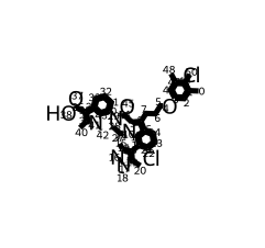 Cc1cc(OCCCc2c3n(c4c(-c5c(C)nn(C)c5C)c(Cl)ccc24)[C@H](C)CN(c2cccc4c(C(=O)O)c(C)n(C)c24)C3=O)cc(C)c1Cl